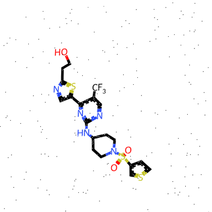 O=S(=O)(c1ccsc1)N1CCC(Nc2ncc(C(F)(F)F)c(-c3cnc(CCO)s3)n2)CC1